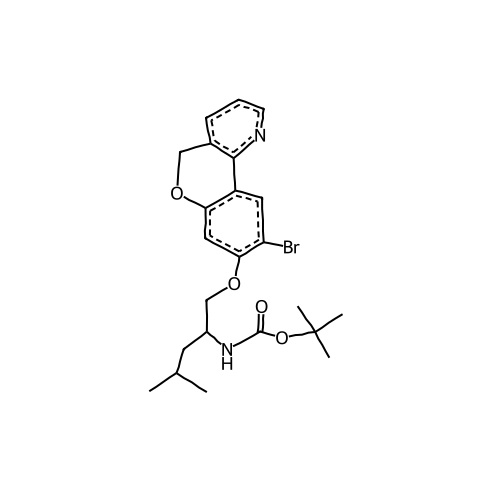 CC(C)CC(COc1cc2c(cc1Br)-c1ncccc1CO2)NC(=O)OC(C)(C)C